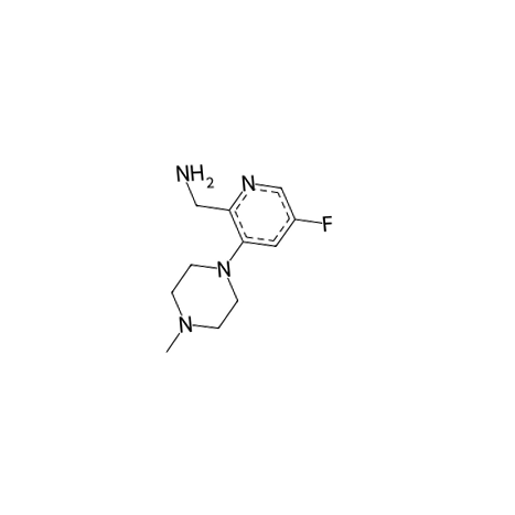 CN1CCN(c2cc(F)cnc2CN)CC1